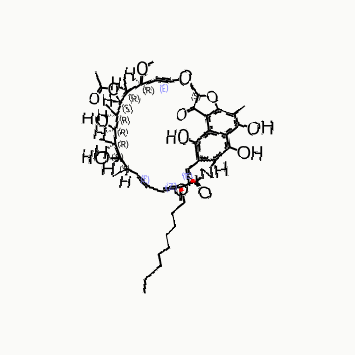 CCCCCCCCCO/N=C/c1c2c(O)c3c(O)c(C)c4c(c3c1O)C(=O)[C@@](C)(O/C=C/[C@H](OC)[C@@H](C)[C@@H](OC(C)=O)[C@H](C)[C@H](O)[C@H](C)[C@@H](O)[C@@H](C)/C=C/C=C(/C)C(=O)N2)O4